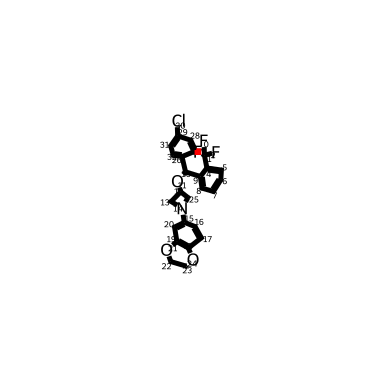 FC(F)(F)c1ccccc1C(OC1CN(c2ccc3c(c2)OCCO3)C1)c1ccc(Cl)cc1